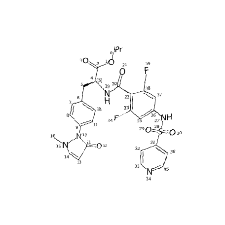 CC(C)OC(=O)[C@H](Cc1ccc(-n2c(=O)ccn2C)cc1)NC(=O)c1c(F)cc(NS(=O)(=O)c2ccncc2)cc1F